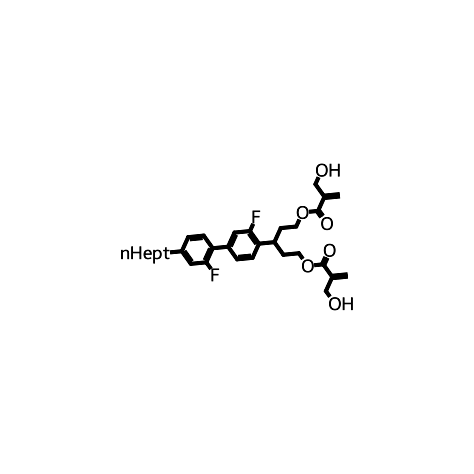 C=C(CO)C(=O)OCCC(CCOC(=O)C(=C)CO)c1ccc(-c2ccc(CCCCCCC)cc2F)cc1F